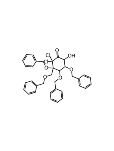 O=C1C(O)C(OCc2ccccc2)C(OCc2ccccc2)C(COCc2ccccc2)(OCc2ccccc2)C1(Cl)Cl